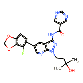 CC(C)(O)CCn1nc(NC(=O)c2cncnc2)c2cc(-c3ccc4c(c3F)OCO4)cnc21